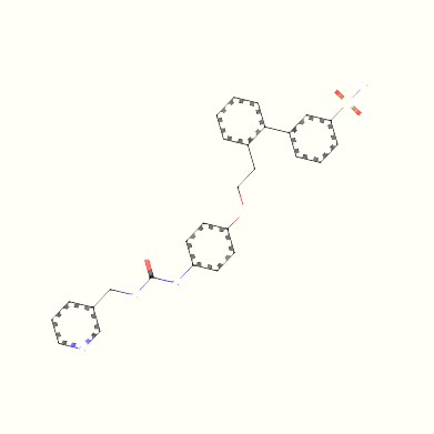 NS(=O)(=O)c1cccc(-c2ccccc2CCOc2ccc(NC(=O)NCc3cccnc3)cc2)c1